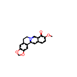 COc1ccc2cc3n(cc-2c1=O)CCc1cc2c(cc1-3)OCO2